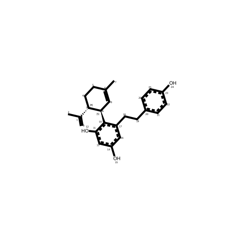 C=C(C)[C@@H]1CCC(C)=C[C@H]1c1c(O)cc(O)cc1CCc1ccc(O)cc1